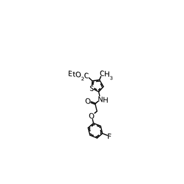 CCOC(=O)c1sc(NC(=O)COc2cccc(F)c2)cc1C